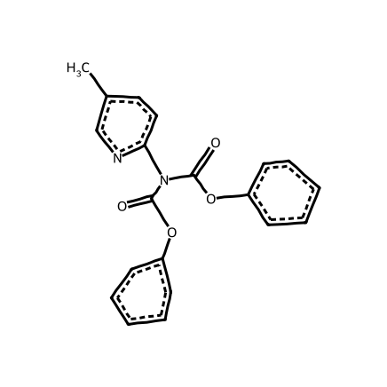 Cc1ccc(N(C(=O)Oc2ccccc2)C(=O)Oc2ccccc2)nc1